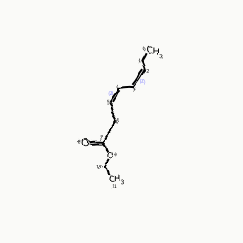 CC/C=C\C=C/CC(=O)OCC